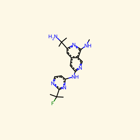 CNc1nc(C(C)(C)N)cc2cc(Nc3ccnc(C(C)(C)F)n3)ncc12